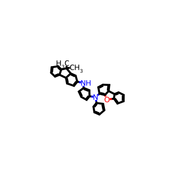 CC1(C)c2ccccc2-c2ccc(Nc3cccc(N(c4ccccc4)c4cccc5c4oc4ccccc45)c3)cc21